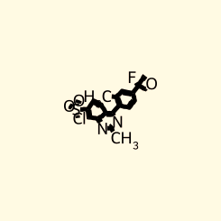 Cc1nc(-c2ccc(C3(F)COC3)cc2C)c2ccc(S(=O)(=O)Cl)cc2n1